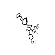 CC(C)N(c1nn(-c2ccc(OCc3cscn3)cc2)cc1C(=O)O)C(=O)[C@H]1CC[C@H](C)CC1